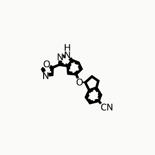 N#Cc1ccc2c(c1)CC[C@@H]2Oc1ccc2[nH]nc(-c3cnco3)c2c1